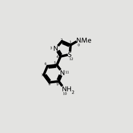 CNc1cnc(-c2cccc(N)n2)s1